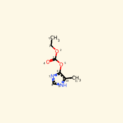 CCOC(=O)Oc1nc[nH]c1C